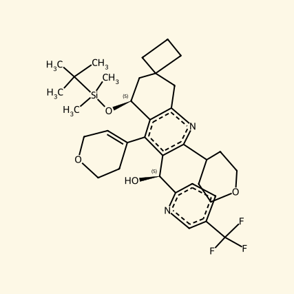 CC(C)(C)[Si](C)(C)O[C@H]1CC2(CCC2)Cc2nc(C3CCOCC3)c([C@H](O)c3ccc(C(F)(F)F)cn3)c(C3=CCOCC3)c21